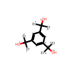 CCC(O)(CC)c1cc(C(O)(CC)CC)cc(C(O)(CC)CC)c1